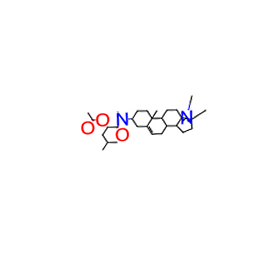 CC(=O)OC(CC(C)C)C(=O)N(C)C1CCC2(C)C(=CCC3C2CCC24CN(C)C(C)C2CCC34)C1